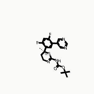 CC(C)(C)OC(=O)NC1=NCC[C@@](C)(c2cc(-c3cncnc3)c(F)cc2F)S1